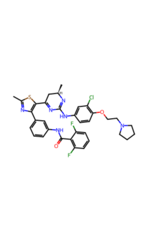 Cc1nc(-c2cccc(NC(=O)c3c(F)cccc3F)c2)c(C2=NC(Nc3ccc(OCCN4CCCC4)c(Cl)c3)=N[C@H](C)C2)s1